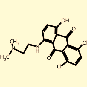 CN(C)CCNc1ccc(O)c2c1C(=O)c1c(Cl)ccc(Cl)c1C2=O